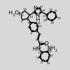 CN1CC(c2ccc(/C=C/C(=O)Nc3ccccc3N)cc2)C(c2ncc(-c3ccccc3)[nH]2)C1